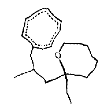 CC(CC1(C)CCCCO1)c1ccccc1